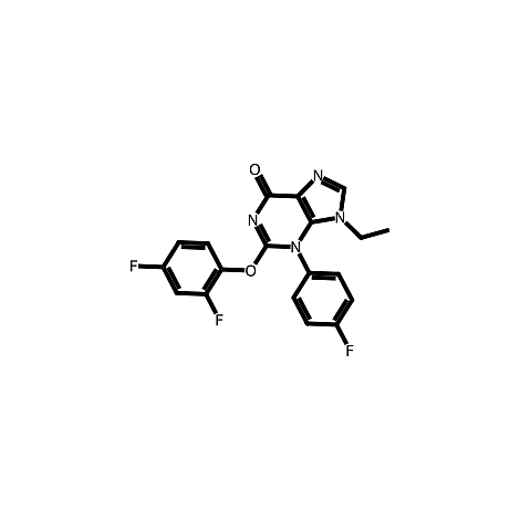 CCn1cnc2c(=O)nc(Oc3ccc(F)cc3F)n(-c3ccc(F)cc3)c21